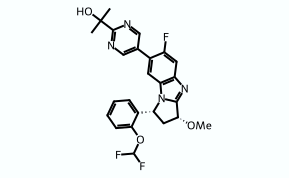 CO[C@@H]1C[C@H](c2ccccc2OC(F)F)n2c1nc1cc(F)c(-c3cnc(C(C)(C)O)nc3)cc12